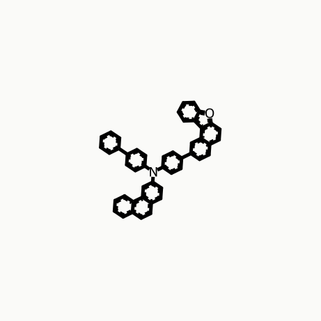 c1ccc(-c2ccc(N(c3ccc(-c4ccc5ccc6oc7ccccc7c6c5c4)cc3)c3ccc4ccc5ccccc5c4c3)cc2)cc1